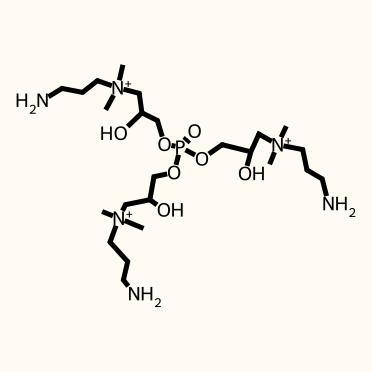 C[N+](C)(CCCN)CC(O)COP(=O)(OCC(O)C[N+](C)(C)CCCN)OCC(O)C[N+](C)(C)CCCN